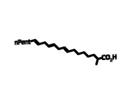 CCCCCC=CCC=CCC=CCCCCCC(C)C(=O)O